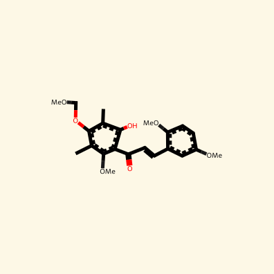 COCOc1c(C)c(O)c(C(=O)/C=C/c2cc(OC)ccc2OC)c(OC)c1C